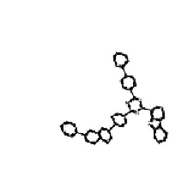 c1ccc(-c2ccc(-c3nc(-c4ccc(-c5ccc6ccc(-c7ccccc7)cc6c5)cc4)nc(-c4cccc5c4sc4ccccc45)n3)cc2)cc1